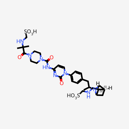 CC(Cc1ccc(-n2ccc(NC(=O)N3CCN(C(=O)C(C)(C)NCS(=O)(=O)O)CC3)nc2=O)cc1)N1C[C@H]2CC1[C@@H]2CNCS(=O)(=O)O